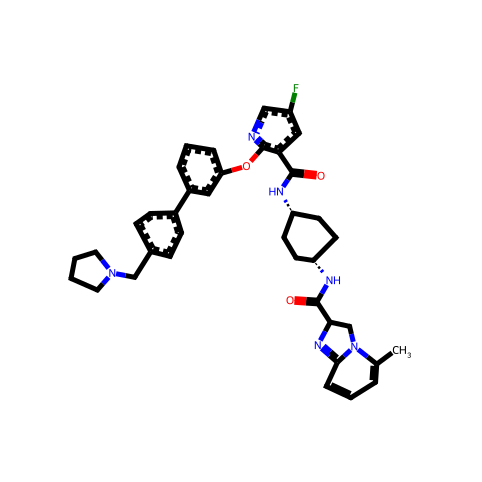 CC1=CC=CC2=NC(C(=O)N[C@H]3CC[C@@H](NC(=O)c4cc(F)cnc4Oc4cccc(-c5ccc(CN6CCCC6)cc5)c4)CC3)CN12